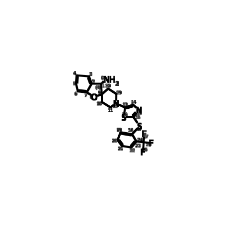 N[C@@H]1c2ccccc2OC12CCN(c1cnc(Sc3ccccc3C(F)(F)F)s1)CC2